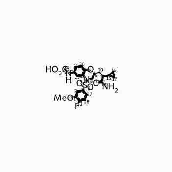 COc1cc(S(=O)(=O)N2C[C@H](C[C@H](C(N)=O)C3CC3)Oc3ccc(NC(=O)O)cc32)ccc1F